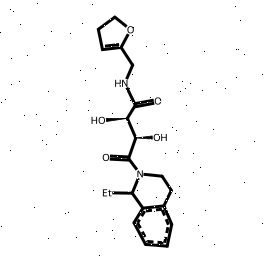 CCC1c2ccccc2CCN1C(=O)[C@H](O)[C@@H](O)C(=O)NCC1=CCCO1